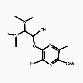 COc1nc(C(C)C)c(OC(C#N)C(N(C)C)N(C)C)nc1I